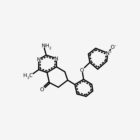 Cc1nc(N)nc2c1C(=O)CC(c1ccccc1Oc1cc[n+]([O-])cc1)C2